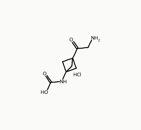 Cl.NCC(=O)C12CC(NC(=O)O)(C1)C2